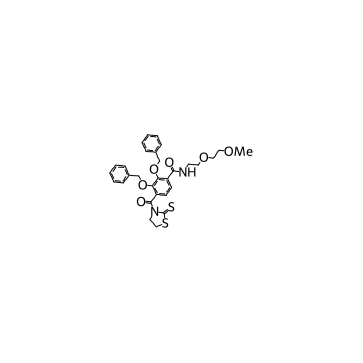 COCCOCCNC(=O)c1ccc(C(=O)N2CCSC2=S)c(OCc2ccccc2)c1OCc1ccccc1